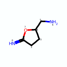 N=C1CCC(CN)O1